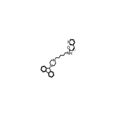 O=C(/C=C\c1cccnc1)NCCCCCN1CCN(C2c3ccccc3-c3ccccc32)CC1